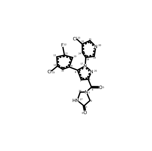 O=C1CN(C(=O)c2cc(-c3cc(F)cc(Cl)c3)n(-c3cncc(Cl)c3)n2)CN1